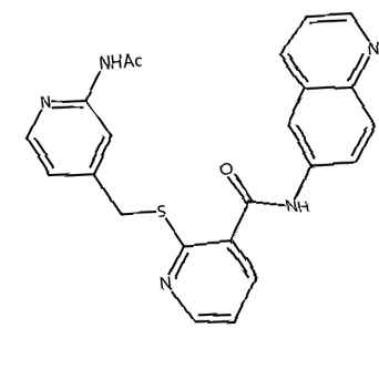 CC(=O)Nc1cc(CSc2ncccc2C(=O)Nc2ccc3ncccc3c2)ccn1